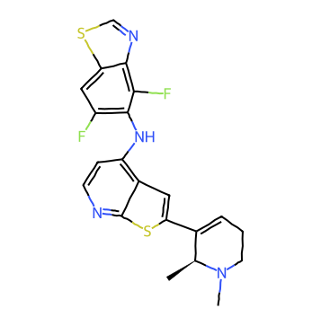 C[C@H]1C(c2cc3c(Nc4c(F)cc5scnc5c4F)ccnc3s2)=CCCN1C